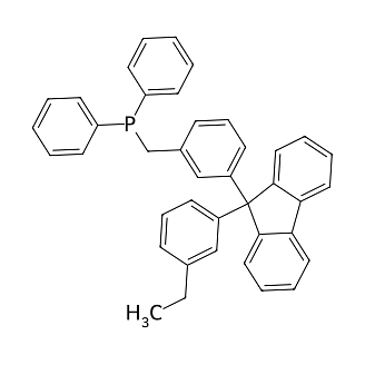 CCc1cccc(C2(c3cccc(CP(c4ccccc4)c4ccccc4)c3)c3ccccc3-c3ccccc32)c1